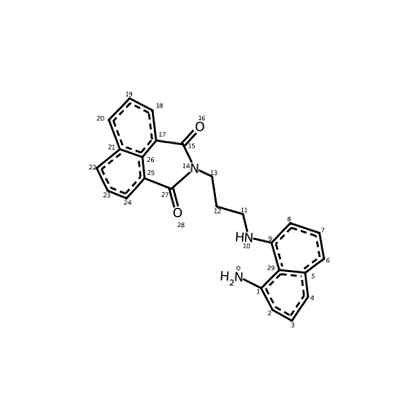 Nc1cccc2cccc(NCCCN3C(=O)c4cccc5cccc(c45)C3=O)c12